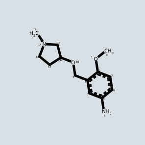 COc1ccc(N)cc1COC1CCN(C)C1